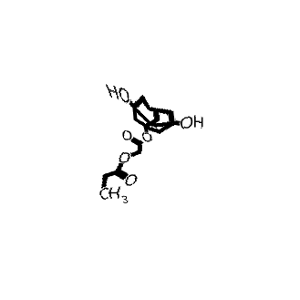 CCC(=O)OCC(=O)OC12CC3CC(O)(CC(O)(C3)C1)C2